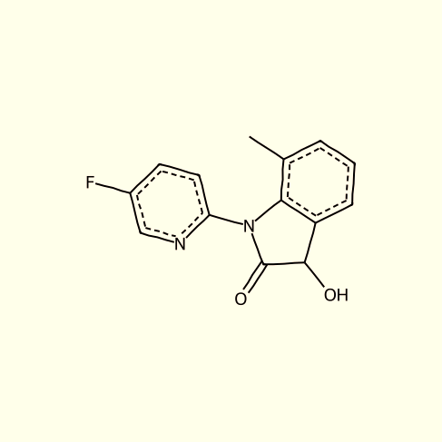 Cc1cccc2c1N(c1ccc(F)cn1)C(=O)C2O